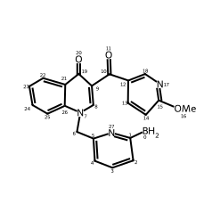 Bc1cccc(Cn2cc(C(=O)c3ccc(OC)nc3)c(=O)c3ccccc32)n1